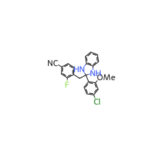 COc1cc(Cl)ccc1C1(Cc2ccc(C#N)cc2F)Nc2ccccc2N1